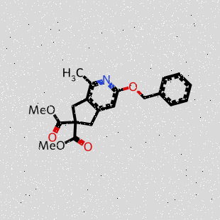 COC(=O)C1(C(=O)OC)Cc2cc(OCc3ccccc3)nc(C)c2C1